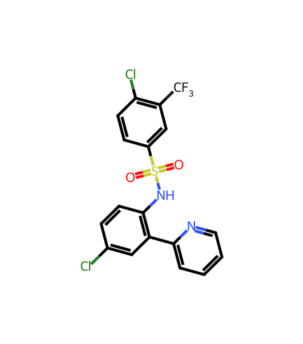 O=S(=O)(Nc1ccc(Cl)cc1-c1ccccn1)c1ccc(Cl)c(C(F)(F)F)c1